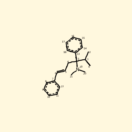 CC(C)C(CC=Cc1ccccc1)(c1ccccc1)N(C)C